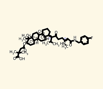 CN/C(=C\C(=O)NCc1ccc(F)cc1)CCC(=O)/C(=C1\CCC[C@]2(C)[C@@H]1CC[C@@H]1[C@@]3(C)CC[C@H](OC(=O)CC(C)(C)C(=O)O)C(C)(C)[C@@H]3CC[C@]12C)C(C)C